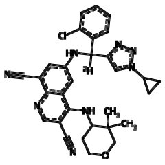 [2H]C(Nc1cc(C#N)c2ncc(C#N)c(NC3CCOCC3(C)C)c2c1)(c1cn(C2CC2)nn1)c1ccccc1Cl